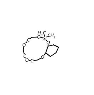 C[Si]1(C)OCCOCCOCCOC2CCCCC2O1